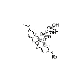 C=CCOCC=C.CCCCCCCCCCC[CH2][Na].O=S(=O)(O)O.O=S(=O)(O)O